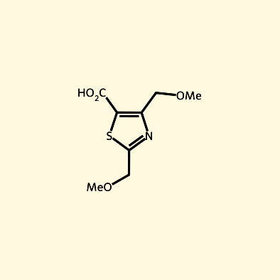 COCc1nc(COC)c(C(=O)O)s1